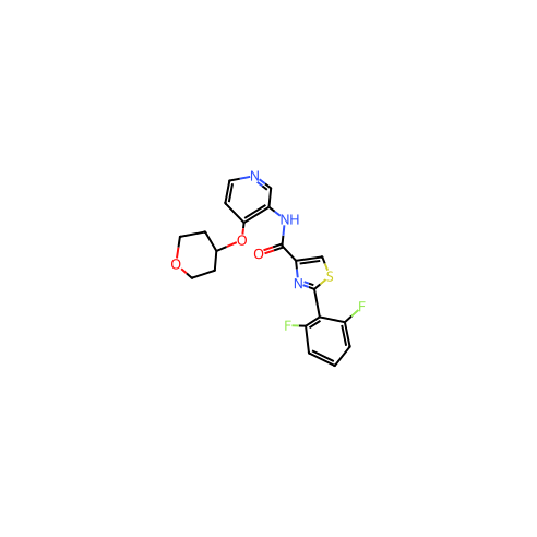 O=C(Nc1cnccc1OC1CCOCC1)c1csc(-c2c(F)cccc2F)n1